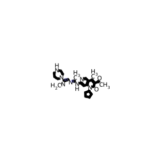 C=N/C(=C\N=C(/C)Nc1cc2c(cn1)c(C)c(C(C)=O)c(=O)n2C1CCCC1)N1CCCNCC1